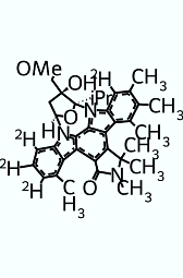 [2H]c1c([2H])c([2H])c2c(c1C)c1c3c(c4c5c(C)c(C)c(C)c([2H])c5n5c4c1n2[C@H]1C[C@](O)(COC)[C@]5(C(C)C)O1)C(C)(C)N(C)C3=O